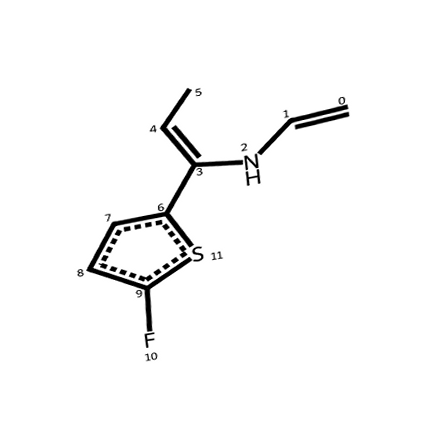 C=CN/C(=C\C)c1ccc(F)s1